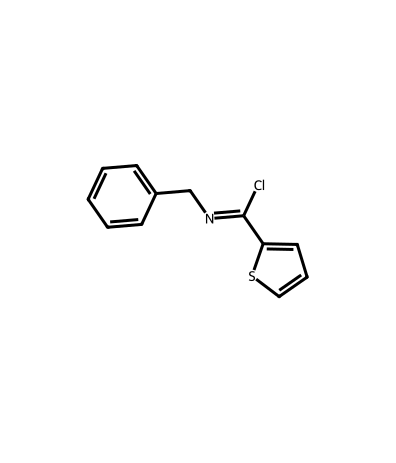 Cl/C(=N\Cc1ccccc1)c1cccs1